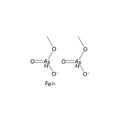 CO[AsH](=O)[O-].CO[AsH](=O)[O-].[Fe+2]